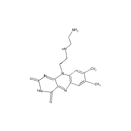 Cc1cc2nc3c(=O)[nH]c(=O)nc-3n(CCNCCN)c2cc1C